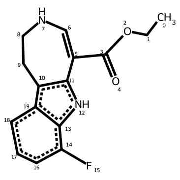 CCOC(=O)C1=CNCCc2c1[nH]c1c(F)cccc21